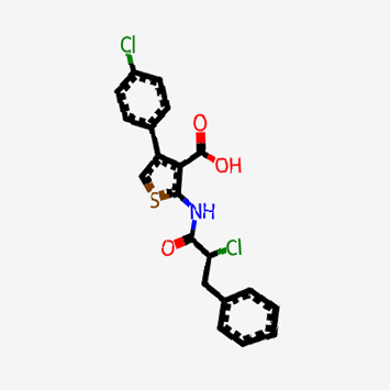 O=C(O)c1c(-c2ccc(Cl)cc2)csc1NC(=O)C(Cl)Cc1ccccc1